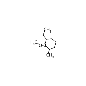 CCC1CCCC(C)B1OC